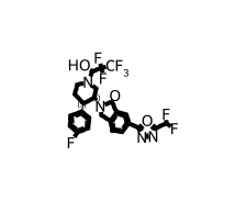 O=C1c2cc(-c3nnc(C(F)F)o3)ccc2CN1[C@@H]1CN(C(O)C(F)(F)C(F)(F)F)CC[C@H]1c1ccc(F)cc1